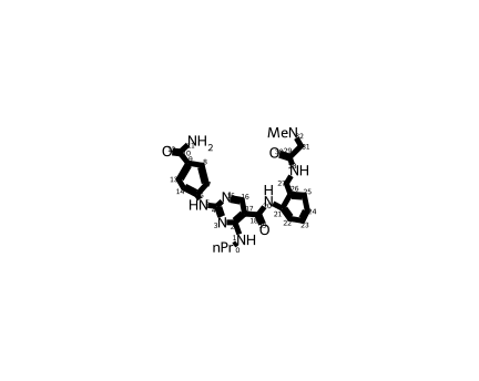 CCCNc1nc(Nc2ccc(C(N)=O)cc2)ncc1C(=O)Nc1ccccc1CNC(=O)CNC